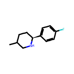 CC1CC[C@@H](c2ccc(F)cc2)NC1